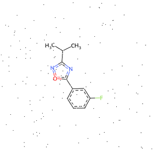 CC(C)c1noc(-c2cccc(F)c2)n1